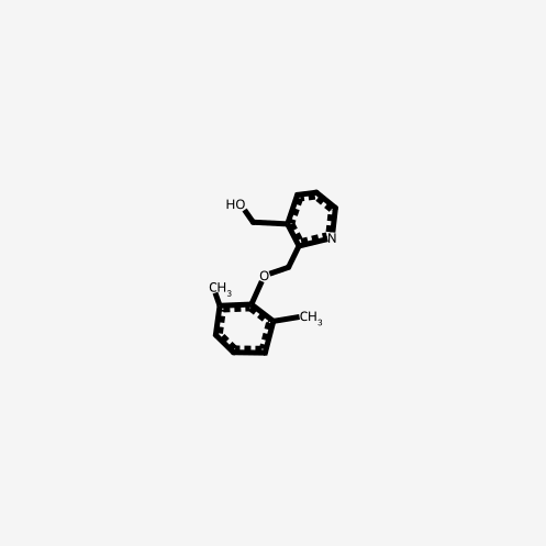 Cc1cccc(C)c1OCc1ncccc1CO